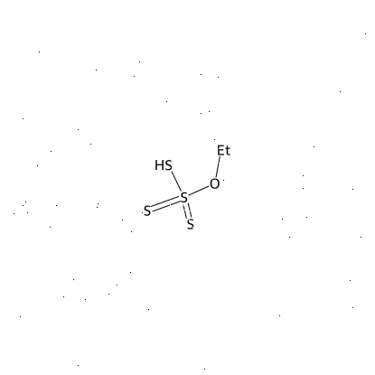 CCOS(=S)(=S)S